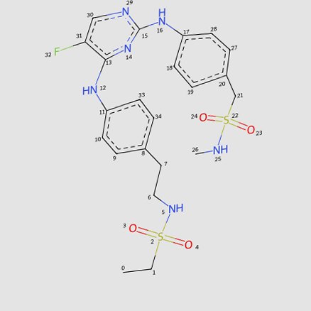 CCS(=O)(=O)NCCc1ccc(Nc2nc(Nc3ccc(CS(=O)(=O)NC)cc3)ncc2F)cc1